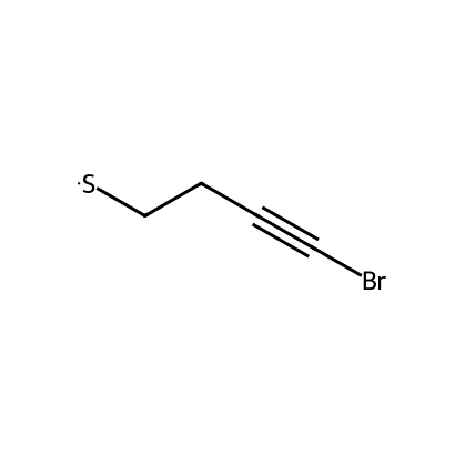 [S]CCC#CBr